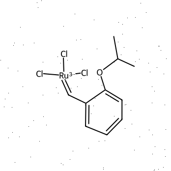 CC(C)Oc1ccccc1[CH]=[Ru-3]([Cl])([Cl])[Cl]